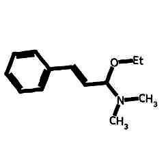 CCOC(C=Cc1ccccc1)N(C)C